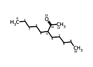 CCCCCC(CCCCC)C(C)=O